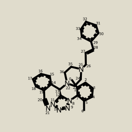 Cc1cccc(C)c1-n1nnnc1[C@@H](c1ccccc1C#N)N1CCN(C/C=C/c2ccccc2)CC1